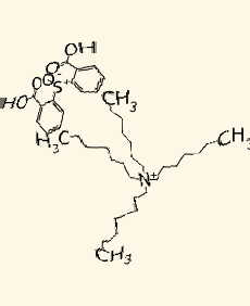 CCCCCCC[N+](CCCCCCC)(CCCCCCC)CCCCCCC.O=C(O)c1ccccc1[S+]([O-])c1ccccc1C(=O)O